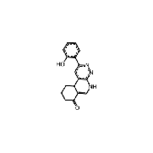 O=C1CCCC2C1=CNc1nnc(-c3ccccc3O)cc12